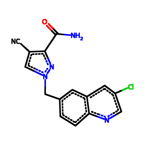 N#Cc1cn(Cc2ccc3ncc(Cl)cc3c2)nc1C(N)=O